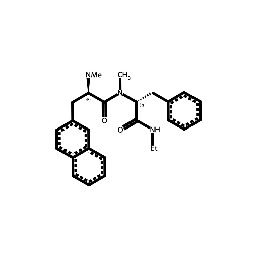 CCNC(=O)[C@@H](Cc1ccccc1)N(C)C(=O)[C@@H](Cc1ccc2ccccc2c1)NC